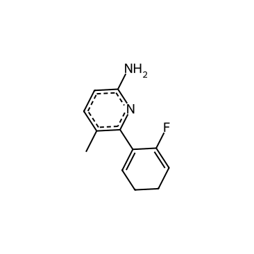 Cc1ccc(N)nc1C1=CCCC=C1F